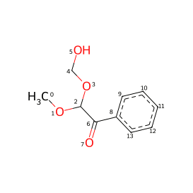 COC(OCO)C(=O)c1ccccc1